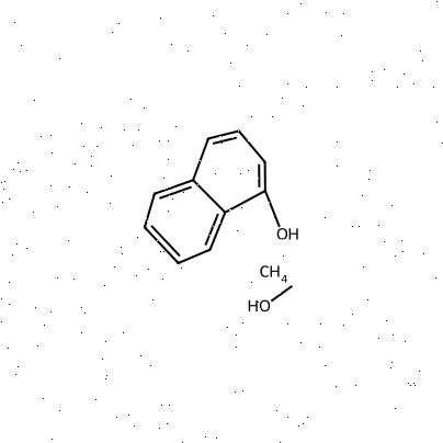 C.CO.Oc1cccc2ccccc12